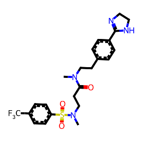 CN(CCc1ccc(C2=NCCN2)cc1)C(=O)CCN(C)S(=O)(=O)c1ccc(C(F)(F)F)cc1